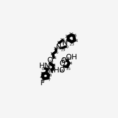 CC1(c2ccc(F)cc2)N=CC=C(OCCCCN2CCN(c3ccccc3)CC2)N1.O=C(O)/C=C\C(=O)O